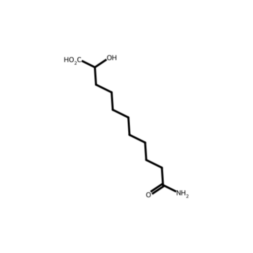 NC(=O)CCCCCCCCC(O)C(=O)O